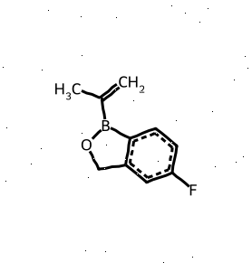 C=C(C)B1OCc2cc(F)ccc21